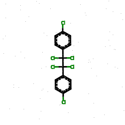 Clc1ccc(C(Cl)(Cl)C(Cl)(Cl)c2ccc(Cl)cc2)cc1